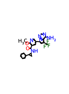 COc1ncc(-c2cc(C(F)(F)F)c3c(N)ncnn23)cc1C(=O)N[C@H]1CC1c1ccccc1